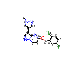 Cn1cc(-c2cnn3ccc(OCc4cc(F)ccc4Cl)nc23)cn1